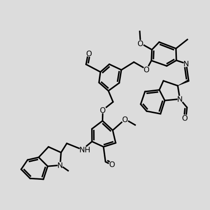 COc1cc(C)c(/N=C\[C@@H]2Cc3ccccc3N2C=O)cc1OCc1cc(C=O)cc(COc2cc(NCC3Cc4ccccc4N3C)c(C=O)cc2OC)c1